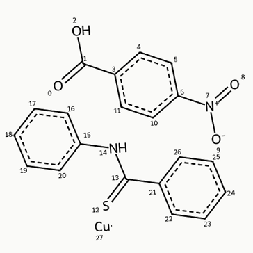 O=C(O)c1ccc([N+](=O)[O-])cc1.S=C(Nc1ccccc1)c1ccccc1.[Cu]